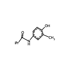 Cc1cc(NC(=O)C(C)C)ccc1O